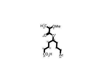 COC(C)C(=O)OC(CCCC(C)=O)CCCC(=O)O